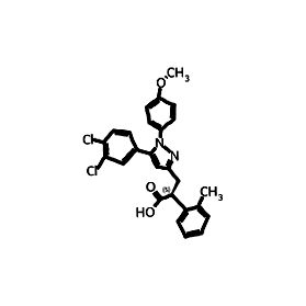 COc1ccc(-n2nc(C[C@H](C(=O)O)c3ccccc3C)cc2-c2ccc(Cl)c(Cl)c2)cc1